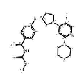 C[C@H](NC(=O)OC(C)(C)C)c1ccc(O[C@@H]2CCN(c3nc(N4CCOCC4)ncc3F)C2)cc1